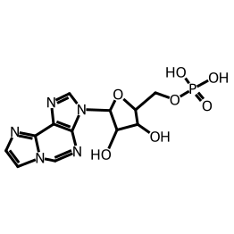 O=P(O)(O)OCC1OC(n2cnc3c2ncn2ccnc32)C(O)C1O